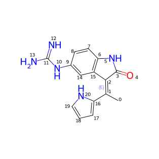 C/C(=C1\C(=O)Nc2ccc(NC(=N)N)cc21)c1ccc[nH]1